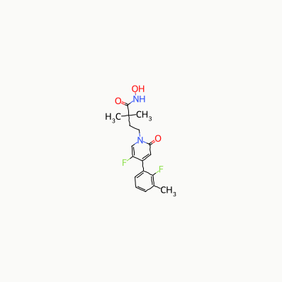 Cc1cccc(-c2cc(=O)n(CCC(C)(C)C(=O)NO)cc2F)c1F